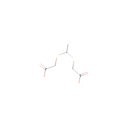 CC(SCC(=O)O)SCC(=O)O